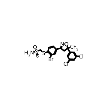 NS(=O)(=O)CSc1ccc(C2=NOC(c3cc(Cl)cc(Cl)c3)(C(F)(F)F)C2)cc1Br